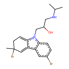 CC(C)NCC(O)Cn1c2c(c3cc(Br)ccc31)=CC(C)(Br)CC=2